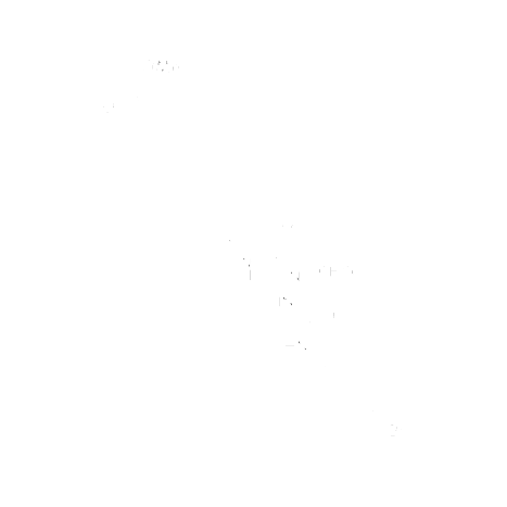 COC(=O)c1ccc(CCC(C)(C)NC(=O)N(C=O)NC(=O)Nc2ccc(Br)cc2)cc1